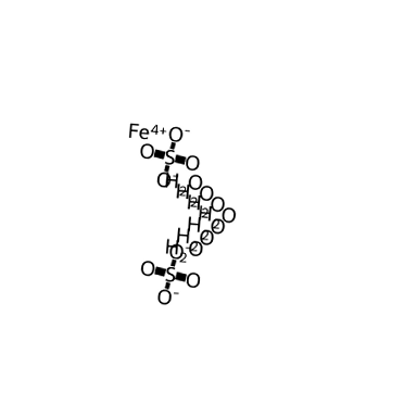 O.O.O.O.O.O.O.O=S(=O)([O-])[O-].O=S(=O)([O-])[O-].[Fe+4]